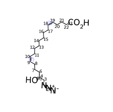 [N-]=[N+]=NC[C@H](O)CCC/C=C\CCCCCCC/C=C\CCCC(=O)O